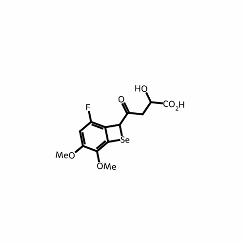 COc1cc(F)c2c(c1OC)[Se]C2C(=O)CC(O)C(=O)O